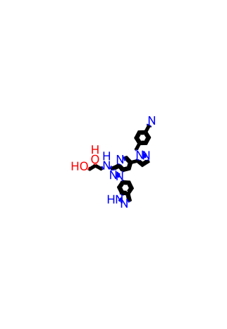 N#Cc1ccc(Cn2nccc2-c2cnc3c(NCC(O)CO)nn(-c4ccc5cn[nH]c5c4)c3c2)cc1